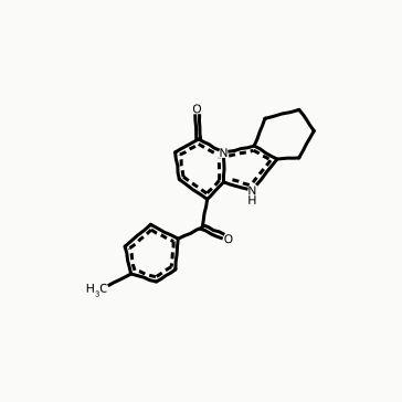 Cc1ccc(C(=O)c2ccc(=O)n3c4c([nH]c23)CCCC4)cc1